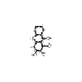 O=c1c2ccccc2sc2cc(Cl)c(Cl)c(Cl)c12